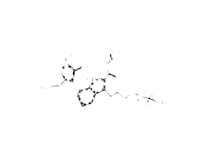 CCOC(=O)c1[nH]c2c(-c3c(CO)nn(C)c3C)cccc2c1CCCO[Si](C)(C)C(C)(C)C